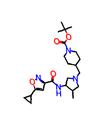 CC1CN(CC2CCN(C(=O)OC(C)(C)C)CC2)CC1NC(=O)c1cc(C2CC2)on1